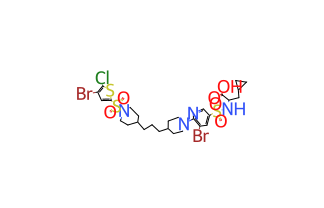 O=C(O)C(CC1CC1)NS(=O)(=O)c1cnc(N2CCC(CCCC3CCN(S(=O)(=O)c4cc(Br)c(Cl)s4)CC3)CC2)c(Br)c1